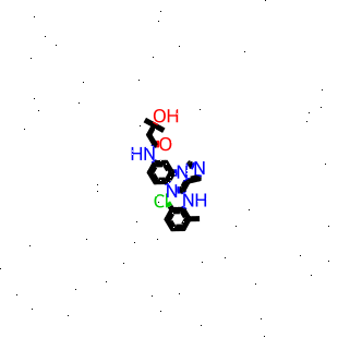 Cc1cccc(Cl)c1Nc1nc2ccc(NC(=O)CC(C)(C)O)cc2n2cncc12